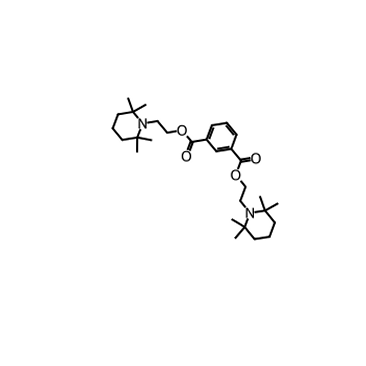 CC1(C)CCCC(C)(C)N1CCOC(=O)c1cccc(C(=O)OCCN2C(C)(C)CCCC2(C)C)c1